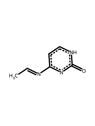 CC=Nc1cc[nH]c(=O)n1